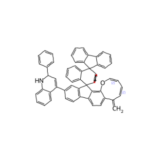 C=C1/C=C\C=C/Oc2c1ccc1c2C2(c3cc(C4=CC(c5ccccc5)Nc5ccccc54)ccc3-1)c1ccccc1C1(c3ccccc3-c3ccccc31)c1ccccc12